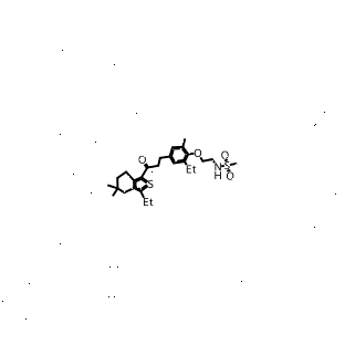 CCc1cc(CCC(=O)c2sc(CC)c3c2CCC(C)(C)C3)cc(C)c1OCCNS(C)(=O)=O